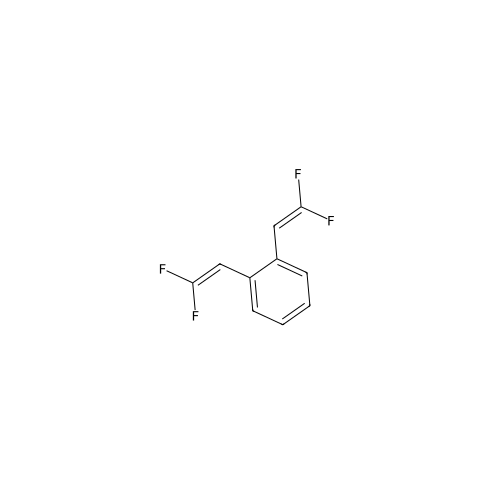 FC(F)=Cc1ccccc1C=C(F)F